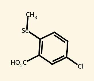 C[Se]c1ccc(Cl)cc1C(=O)O